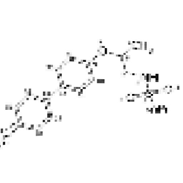 CCCS(=O)(=O)NCC(C)Oc1ccc(-c2ccc(C(F)(F)F)cc2)cc1